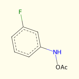 CC(=O)ONc1cccc(F)c1